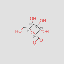 COC(=O)[C@@H]1O[C@H](CO)[C@H](O)[C@H](O)[C@H]1O